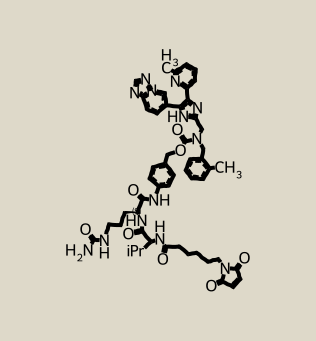 Cc1cccc(-c2nc(CN(Cc3ccccc3C)C(=O)OCc3ccc(NC(=O)[C@H](CCCNC(N)=O)NC(=O)C(NC(=O)CCCCCN4C(=O)C=CC4=O)C(C)C)cc3)[nH]c2-c2ccc3ncnn3c2)n1